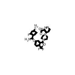 Cc1ccc(C(N)=O)c(F)c1.O=C(O)c1nnccc1N1CCN(C(=O)c2ccccc2C(F)(F)F)CC1